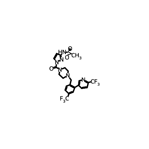 CS(=O)(=O)Nc1ccn(C(=O)N2CCN(Cc3ccc(C(F)(F)F)cc3-c3ccc(C(F)(F)F)nc3)CC2)n1